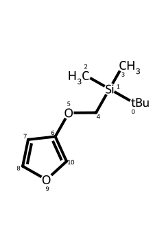 CC(C)(C)[Si](C)(C)COc1ccoc1